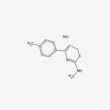 CNC1=NC(c2ccc(C)cc2)=CCS1.Cl